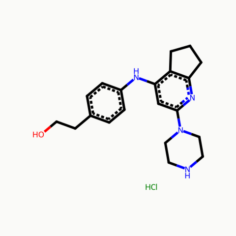 Cl.OCCc1ccc(Nc2cc(N3CCNCC3)nc3c2CCC3)cc1